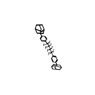 FC(F)(c1ccc(C23CC4CC(CC(C4)C2)C3)cc1)C(F)(F)C(F)(F)C(F)(F)c1ccc(C23CC4CC(CC(C4)C2)C3)cc1